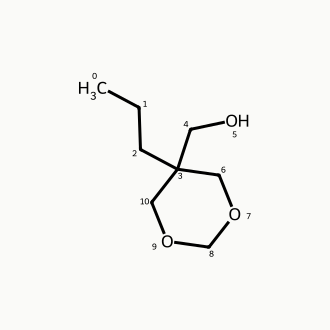 CCCC1(CO)COCOC1